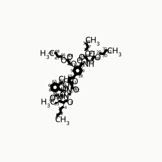 CCCCC[C@@H](C(=O)NCNC(=O)c1ccc(-c2ccc(C(=O)N[C@@H](CC(=O)OCCCC)C(=O)OCCCC)c(OCC(=O)OCCCC)c2)o1)[C@@H](CC)N(C=O)OC(=O)c1ccccc1C(C)C